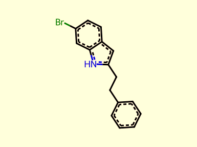 Brc1ccc2cc(CCc3ccccc3)[nH]c2c1